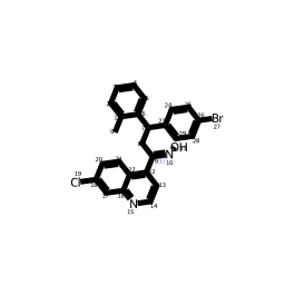 Cc1ccccc1C(C/C(=N\O)c1ccnc2cc(Cl)ccc12)c1ccc(Br)cc1